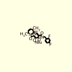 C=C1C=C[C@H](C)N2C[C@H]1n1cc(C(=O)NCc3ccc(F)cc3F)c(=O)c(OCCCC)c1C2=O